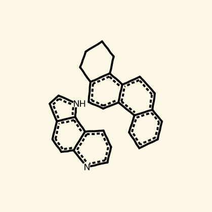 c1ccc2c(c1)ccc1c3c(ccc12)CCCC3.c1cnc2ccc3cc[nH]c3c2c1